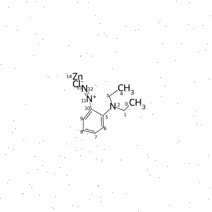 CCN(CC)c1ccccc1[N+]#N.[Cl-].[Zn]